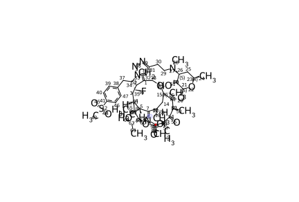 C=C1CC[C@@H]2[C@@H](C)/C(=N/C(C)=O)[C@H](C)C[C@@](C)(OC1)[C@H](O[C@@H]1O[C@H](C)C[C@H](N(C)CCc3cn([C@H](CF)Cc4ccc(S(C)(=O)=O)cc4)nn3)[C@H]1O)[C@@H](C)C(=O)[C@@H](C)C(=O)O[C@H](CC)[C@@]2(C)O